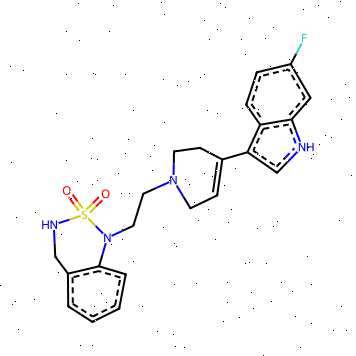 O=S1(=O)NCc2ccccc2N1CCN1CC=C(c2c[nH]c3cc(F)ccc23)CC1